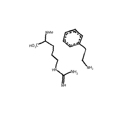 CNC(CCCNC(=N)N)C(=O)O.NCCc1ccccc1